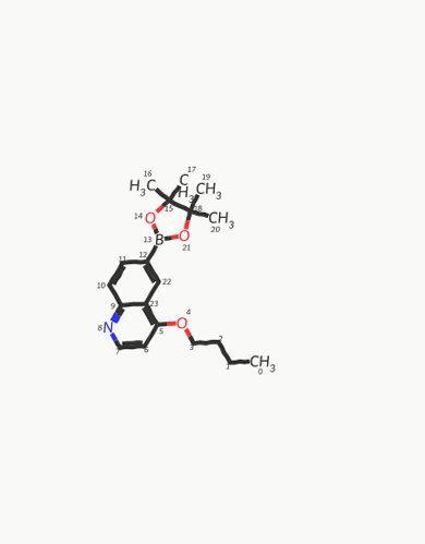 CCCCOc1ccnc2ccc(B3OC(C)(C)C(C)(C)O3)cc12